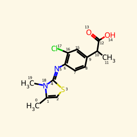 Cc1cs/c(=N\c2ccc(C(C)C(=O)O)cc2Cl)n1C